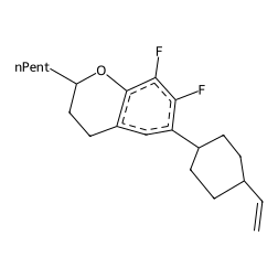 C=CC1CCC(c2cc3c(c(F)c2F)OC(CCCCC)CC3)CC1